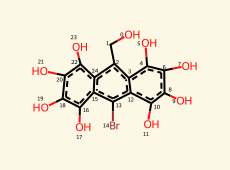 OCc1c2c(O)c(O)c(O)c(O)c2c(Br)c2c(O)c(O)c(O)c(O)c12